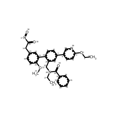 CCOc1ccc(-c2ccc(-c3cc(CC(=O)N=O)ccc3OC)c(CN(CC)C(=O)c3ccccc3)c2)cn1